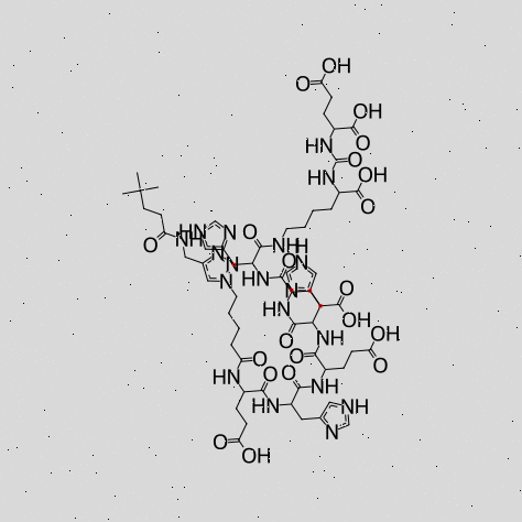 CC(C)(C)CCC(=O)NCc1cn(CCCCC(=O)NC(CCC(=O)O)C(=O)NC(Cc2c[nH]cn2)C(=O)NC(CCC(=O)O)C(=O)NC(Cc2c[nH]cn2)C(=O)NC(CCC(=O)O)C(=O)NC(Cc2c[nH]cn2)C(=O)NCCCCC(NC(=O)NC(CCC(=O)O)C(=O)O)C(=O)O)nn1